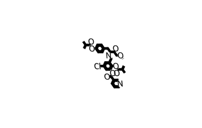 COCC(=O)C(Cc1ccc(OC(=O)C(C)C)cc1)N=Cc1cc(Cl)cc(OC(=O)c2cccnc2)c1OC(=O)C(C)C